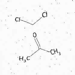 CC(C)=O.ClCCl